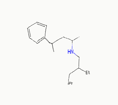 CCC(CNC(C)CC(C)c1ccccc1)CC(C)C